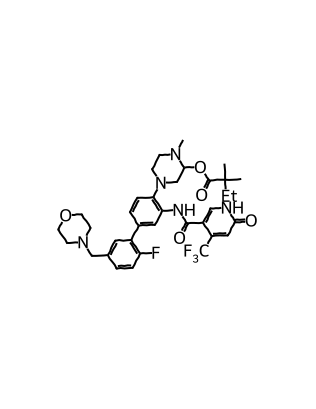 CCC(C)(C)C(=O)OC1CN(c2ccc(-c3cc(CN4CCOCC4)ccc3F)cc2NC(=O)c2c[nH]c(=O)cc2C(F)(F)F)CCN1C